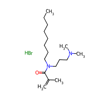 Br.C=C(C)C(=O)N(CCCCCCCC)CCCN(C)C